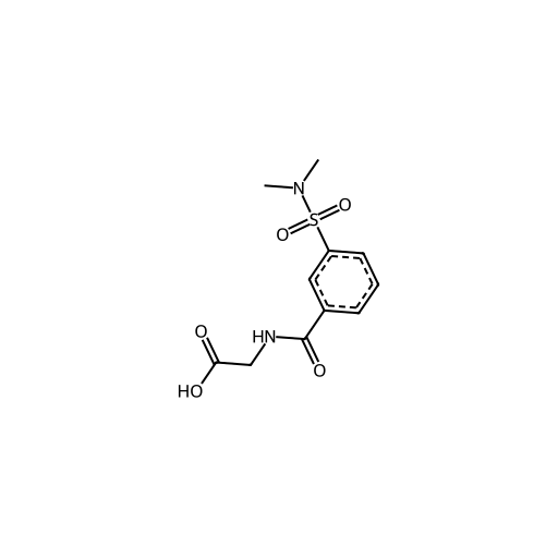 CN(C)S(=O)(=O)c1cccc(C(=O)NCC(=O)O)c1